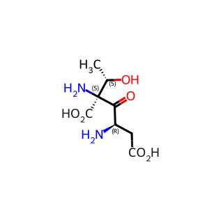 C[C@H](O)[C@@](N)(C(=O)O)C(=O)[C@H](N)CC(=O)O